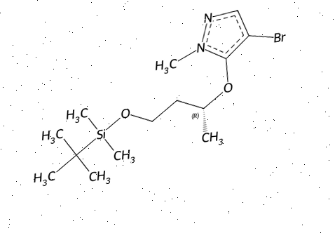 C[C@H](CCO[Si](C)(C)C(C)(C)C)Oc1c(Br)cnn1C